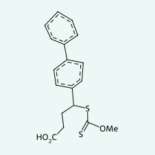 COC(=S)SC(CCC(=O)O)c1ccc(-c2ccccc2)cc1